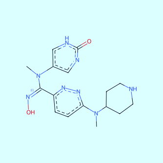 CN(/C(=N/O)c1ccc(N(C)C2CCNCC2)nn1)c1cnc(=O)[nH]c1